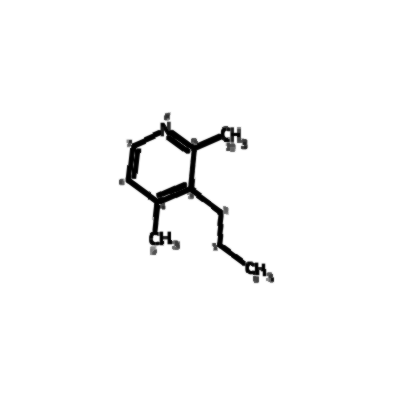 CCCc1c(C)ccnc1C